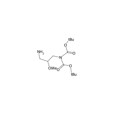 COC(CN)CN(C(=O)OC(C)(C)C)C(=O)OC(C)(C)C